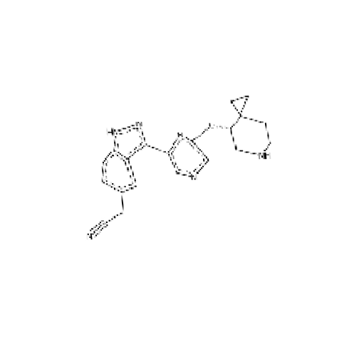 N#CCc1ccc2[nH]nc(-c3cncc(O[C@H]4CNCCC45CC5)n3)c2c1